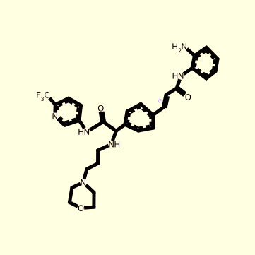 Nc1ccccc1NC(=O)/C=C/c1ccc(C(NCCCN2CCOCC2)C(=O)Nc2ccc(C(F)(F)F)nc2)cc1